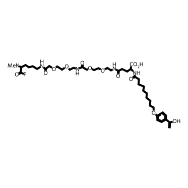 C=C(O)c1ccc(OCCCCCCCCCC(=O)NC(CCC(=O)NCCOCCOCC(=O)NCCOCCOCC(=O)NCCCCC(NC)C(=O)F)C(=O)O)cc1